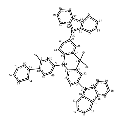 Cc1nc(N2c3ccc(-n4c5ccccc5c5ccccc54)cc3C(C)(C)c3cc(-n4c5ccccc5c5ccccc54)ccc32)ccc1-c1ccccc1